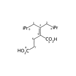 CC(C)CC(CC(C)C)=C(CCC(=O)O)C(=O)O